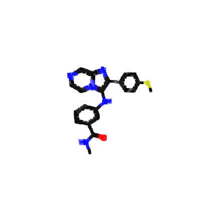 CNC(=O)c1cccc(Nc2c(-c3ccc(SC)cc3)nc3cnccn23)c1